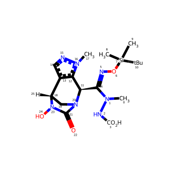 CN(NC(=O)O)/C(=N\O[Si](C)(C)C(C)(C)C)[C@@H]1c2c(cnn2C)[C@@H]2CN1C(=O)N2O